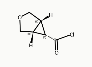 O=C(Cl)[C@@H]1[C@@H]2COC[C@@H]21